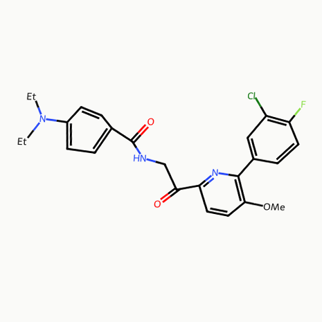 CCN(CC)c1ccc(C(=O)NCC(=O)c2ccc(OC)c(-c3ccc(F)c(Cl)c3)n2)cc1